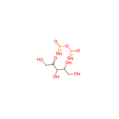 O=C(CO)C(O)C(O)CO.O=[PH](O)O[PH](=O)O